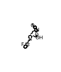 COc1ccc2nccc(CCC[C@@H]3CCN(CCCCc4c(F)cccc4F)C[C@@H]3CCC(=O)O)c2c1